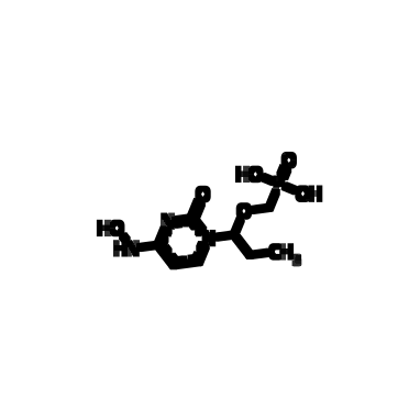 CCC(OCP(=O)(O)O)n1ccc(NO)nc1=O